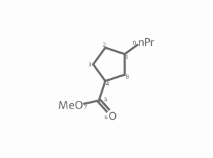 CCCC1CCC(C(=O)OC)C1